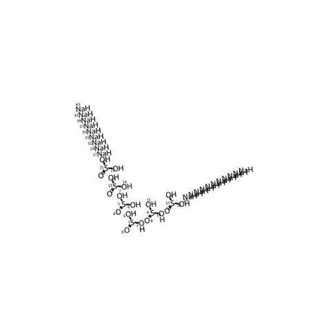 O=S(O)O.O=S(O)O.O=S(O)O.O=S(O)O.O=S(O)O.O=S(O)O.[NaH].[NaH].[NaH].[NaH].[NaH].[NaH].[NaH].[NaH].[NaH].[NaH].[NaH].[NaH].[NaH].[NaH].[NaH].[NaH].[NaH].[NaH].[NaH].[NaH]